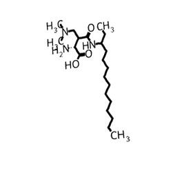 CCCCCCCCCCCC(CC)NC(=O)C(CN(C)C)[C@@H](N)C(=O)O